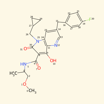 COCC(C)NC(=O)c1c(O)c2ncc(Cc3ccc(F)cc3)cc2n(CC2CC2)c1=O